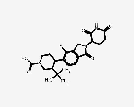 CC(C)(C)C1CN(C(=O)O)CCC1c1ccc2c(c1F)CN(C1CCC(=O)NC1=O)C2=O